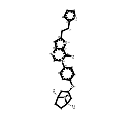 CN1[C@@H]2CC[C@H]1C[C@@H](Oc1ccc(-n3cnc4cc(CCc5ccco5)sc4c3=O)cc1)C2